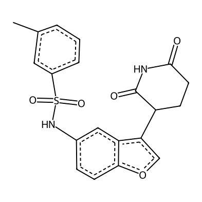 Cc1cccc(S(=O)(=O)Nc2ccc3occ(C4CCC(=O)NC4=O)c3c2)c1